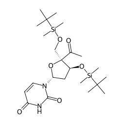 CC(=O)[C@]1(CO[Si](C)(C)C(C)(C)C)O[C@@H](n2ccc(=O)[nH]c2=O)C[C@@H]1O[Si](C)(C)C(C)(C)C